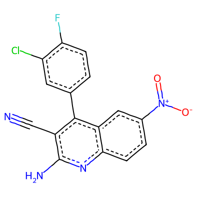 N#Cc1c(N)nc2ccc([N+](=O)[O-])cc2c1-c1ccc(F)c(Cl)c1